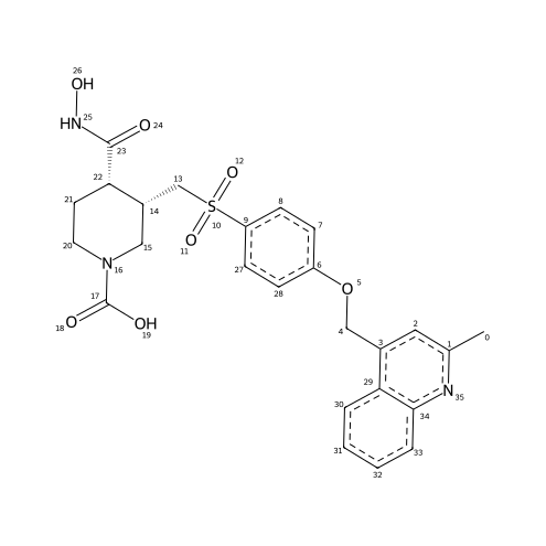 Cc1cc(COc2ccc(S(=O)(=O)C[C@@H]3CN(C(=O)O)CC[C@@H]3C(=O)NO)cc2)c2ccccc2n1